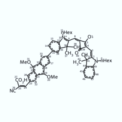 CCCCCCN1C(=CC2=C([O-])C(=CC3=[N+](CCCCCC)c4ccc(-c5cc6c(OC)c7sc(C=C(C#N)C(=O)O)cc7c(OC)c6s5)cc4C3(C)C)C2=O)C(C)(C)c2ccccc21